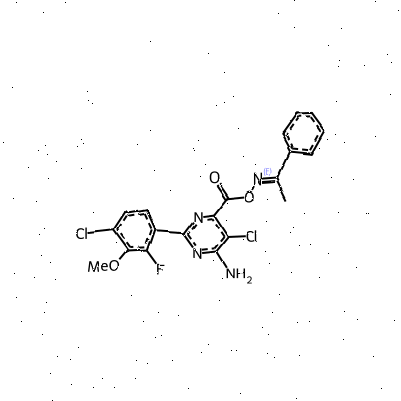 COc1c(Cl)ccc(-c2nc(N)c(Cl)c(C(=O)O/N=C(\C)c3ccccc3)n2)c1F